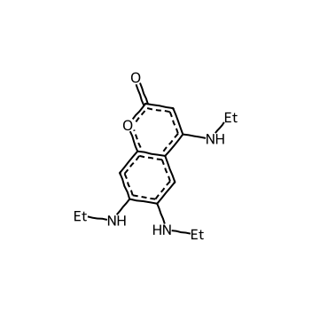 CCNc1cc2oc(=O)cc(NCC)c2cc1NCC